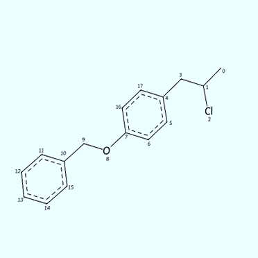 CC(Cl)Cc1ccc(OCc2ccccc2)cc1